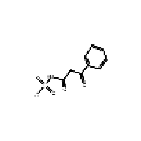 CCS(=O)(=O)NC(=O)CC(=O)c1ccccc1